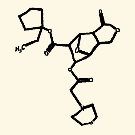 CCC1(OC(=O)C2C(OC(=O)CN3CCSCC3)C3OC2C2C(=O)OCC32)CCCC1